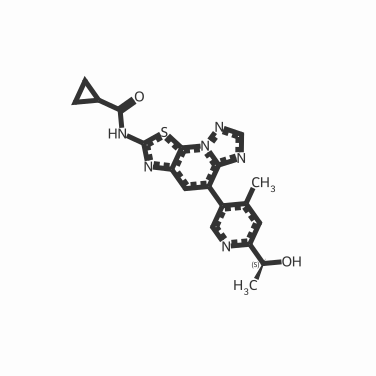 Cc1cc([C@H](C)O)ncc1-c1cc2nc(NC(=O)C3CC3)sc2n2ncnc12